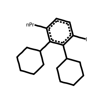 CCCc1ccc(I)c(C2CCCCC2)c1C1CCCCC1